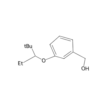 CCC(Oc1cccc(CO)c1)C(C)(C)C